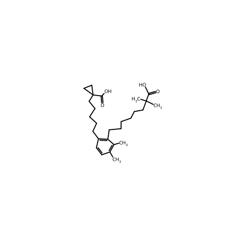 Cc1ccc(CCCCCC2(C(=O)O)CC2)c(CCCCCCC(C)(C)C(=O)O)c1C